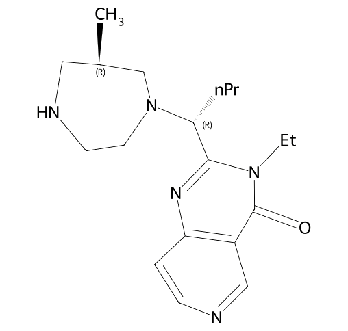 CCC[C@H](c1nc2ccncc2c(=O)n1CC)N1CCNC[C@@H](C)C1